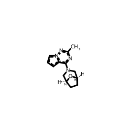 Cc1nc(N2C[C@H]3CC[C@@H](C2)O3)c2cccn2n1